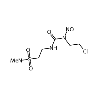 CNS(=O)(=O)CCNC(=O)N(CCCl)N=O